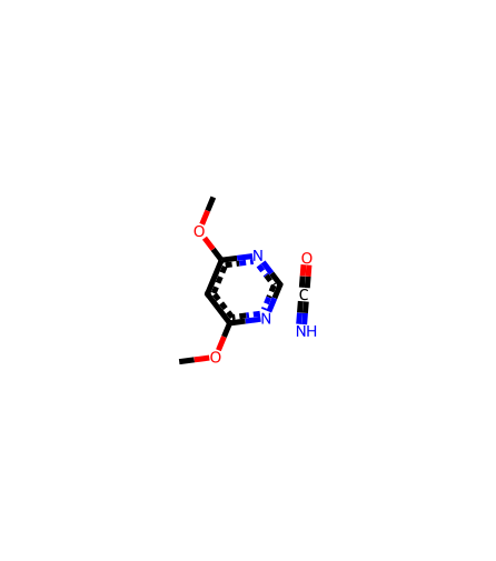 COc1cc(OC)ncn1.N=C=O